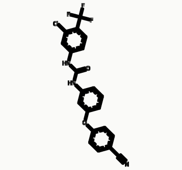 N#Cc1ccc(Oc2cccc(NC(=O)Nc3ccc(C(F)(F)F)c(Cl)c3)c2)cc1